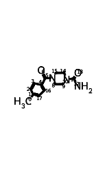 Cc1ccc(C(=O)N2CCN(C(N)=O)CC2)cc1